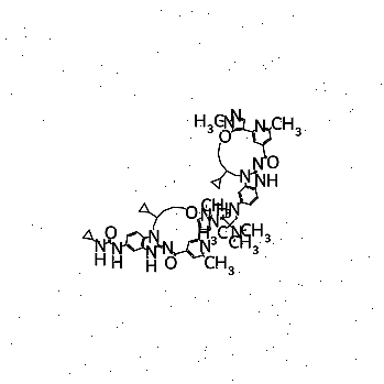 Cc1cc2cc(n1)-c1cnn(C)c1OCCCC(C1CC1)CN1/C(=N/C2=O)Nc2ccc(NCC(C)(C[n+]3cc4c(n3C)OCCCC(C3CC3)CN3/C(=N/C(=O)c5cc(C)nc-4c5)Nc4cc(NC(=O)NC5CC5)ccc43)N(C)C)cc21